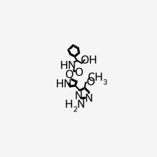 COCc1cnc(N)nc1-c1c[nH]c(OC(=O)NC(CO)c2ccccc2)c1